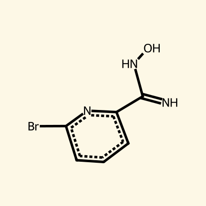 N=C(NO)c1cccc(Br)n1